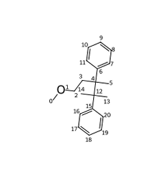 COCCC(C)(c1ccccc1)C(C)(C)c1ccccc1